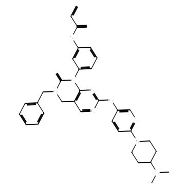 C=CC(=O)Nc1cccc(N2C(=O)N(Cc3ccccc3)Cc3cnc(Nc4ccc(N5CCC(N(C)C)CC5)nc4)nc32)c1